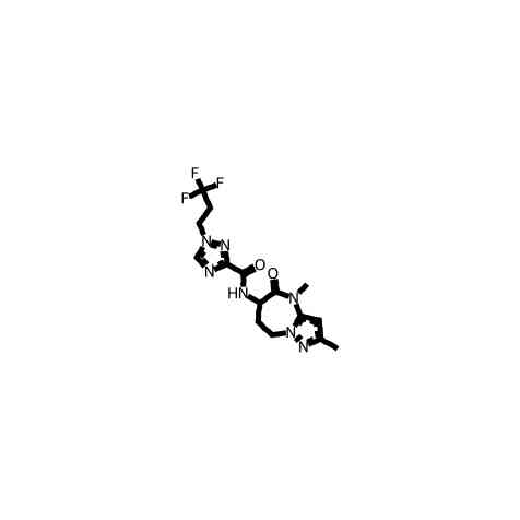 Cc1cc2n(n1)CCC(NC(=O)c1ncn(CCC(F)(F)F)n1)C(=O)N2C